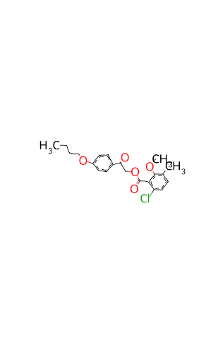 CCCCOc1ccc(C(=O)COC(=O)c2c(Cl)ccc(C)c2OC)cc1